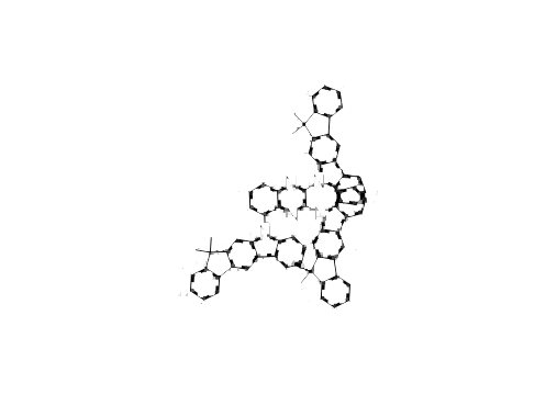 CC1(C)c2ccccc2-c2cc3c4ccccc4n(-c4nc5cccc(-n6c7ccccc7c7cc8c(cc76)C(C)(C)c6ccccc6-8)c5nc4-n4c5ccccc5c5cc6c(cc54)C(C)(C)c4ccccc4-6)c3cc21